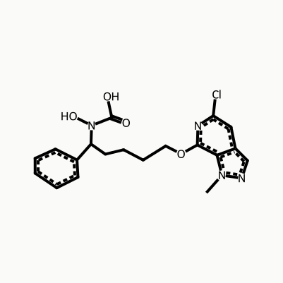 Cn1ncc2cc(Cl)nc(OCCCCC(c3ccccc3)N(O)C(=O)O)c21